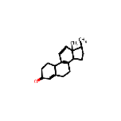 CC1CCC2C3=C(C=CC12C)C1CCC(=O)C=C1CC3